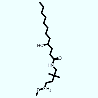 CCCCCCCCC(O)CCC(=O)NCC(C)(C)CC[SiH2]OC